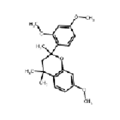 COc1ccc2c(c1)OC(C)(c1ccc(OC)cc1OC)CC2(C)C